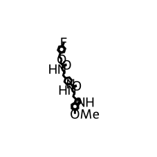 COc1ccc2c(CCNC(=O)N3CCC(CCNC(=O)COCc4ccc(F)cc4)CC3)c[nH]c2c1